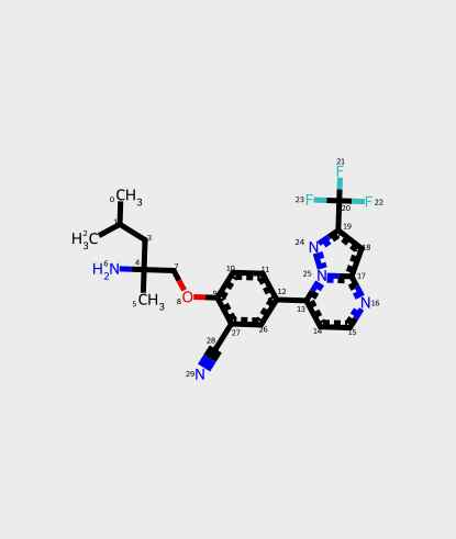 CC(C)CC(C)(N)COc1ccc(-c2ccnc3cc(C(F)(F)F)nn23)cc1C#N